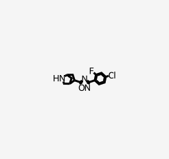 Fc1cc(Cl)ccc1-c1noc(C2CC3CC2CN3)n1